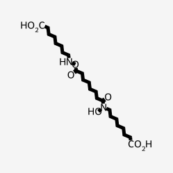 O=C(O)CCCCCCCNOC(=O)CCCCCCC(=O)N(O)CCCCCCCC(=O)O